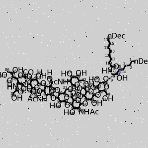 CCCCCCCCCCCCC/C=C/[C@@H](O)[C@H](CO[C@@H]1OC(CO)[C@@H](O[C@@H]2OC(CO)[C@H](O)[C@H](O[C@@H]3OC(CO)[C@@H](O[C@@H]4OC(CO[C@@H]5OC(CO)[C@@H](O)[C@H](O)C5NC(C)=O)[C@H](O)[C@H](O[C@@H]5OC(CO)[C@@H](O[C@@H]6OC(CO)[C@H](O)[C@H](O[C@]7(C(=O)O)CC(O)[C@@H](NC(=O)CO)C([C@H](O)[C@H](O)CO)O7)C6O)[C@H](O)C5NC(C)=O)C4O)[C@H](O)C3NC(C)=O)C2O)[C@H](O)C1O)NC(=O)CCCCCCCCCCCCCCCCC